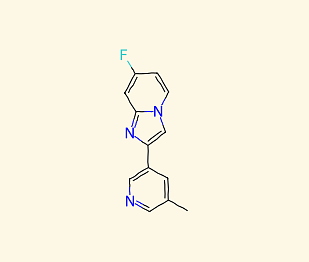 Cc1cncc(-c2cn3ccc(F)cc3n2)c1